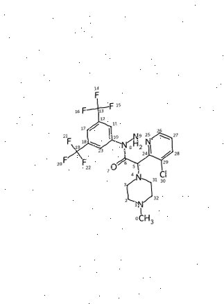 CN1CCN(C(C(=O)N(N)c2cc(C(F)(F)F)cc(C(F)(F)F)c2)c2ncccc2Cl)CC1